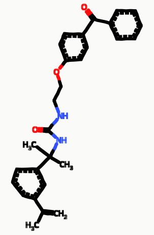 C=C(C)c1cccc(C(C)(C)NC(=O)NCCOc2ccc(C(=O)c3ccccc3)cc2)c1